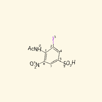 CC(=O)Nc1c(I)cc(S(=O)(=O)O)cc1[N+](=O)[O-]